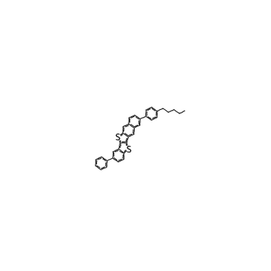 CCCCCc1ccc(-c2ccc3cc4sc5c6cc(-c7ccccc7)ccc6sc5c4cc3c2)cc1